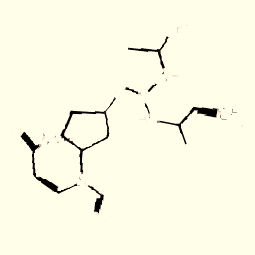 C=CC(C)NP(NC(C)C=O)OC1CCC(N(C=C)/C=C\C(=O)NC)C1